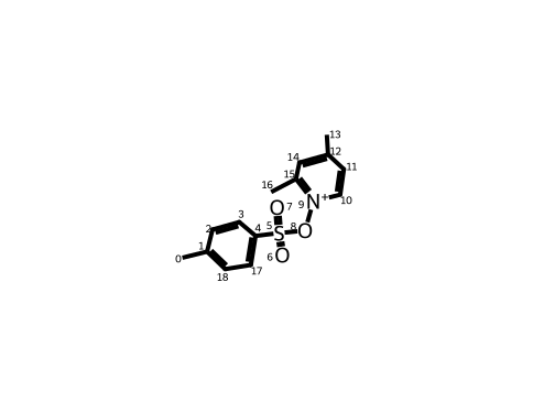 Cc1ccc(S(=O)(=O)O[n+]2ccc(C)cc2C)cc1